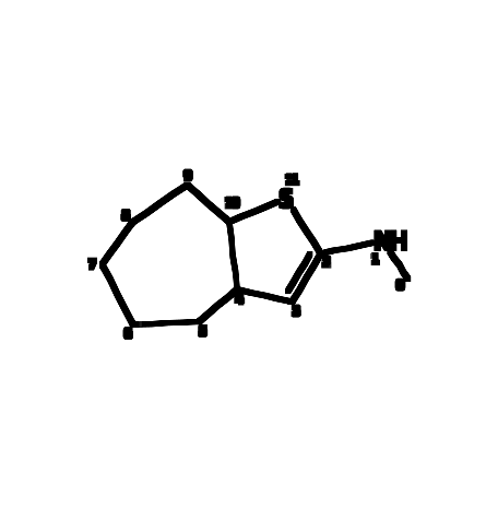 CNC1=CC2CCCCCC2S1